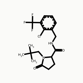 CC(C)(C)CN1C(=O)CCC1C(=O)NCc1cccc(C(F)(F)F)c1Cl